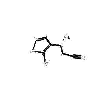 C#CC[C@@H](N)c1cnoc1O